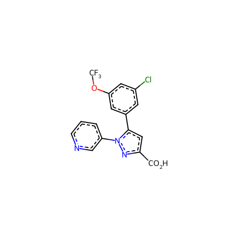 O=C(O)c1cc(-c2cc(Cl)cc(OC(F)(F)F)c2)n(-c2cccnc2)n1